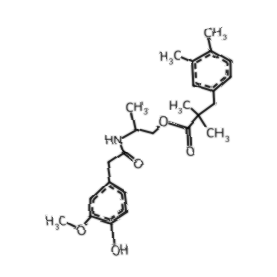 COc1cc(CC(=O)NC(C)COC(=O)C(C)(C)Cc2ccc(C)c(C)c2)ccc1O